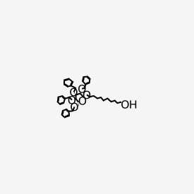 OCCCCCCCCCCO[C@@H]1O[C@H](COCc2ccccc2)[C@@H](OCc2ccccc2)[C@H](OCc2ccccc2)[C@@H]1OCc1ccccc1